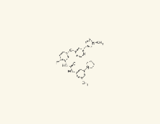 Cc1cc(NC(=O)Nc2cc(Oc3ccnc(-c4cnn(C)c4)c3)ccc2F)cc(N2CCCC2)c1